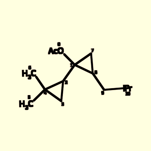 CC(=O)OC1(C2CC2(C)C)CC1CC(C)C